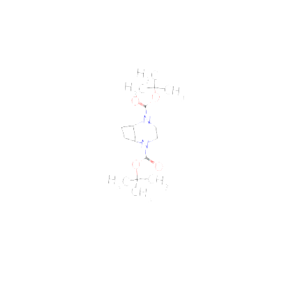 CC(C)(C)OC(=O)N1CCN(C(=O)OC(C)(C)C)C2CCC21